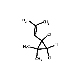 CC(C)=CC1(Cl)C(C)(C)C1(Cl)Cl